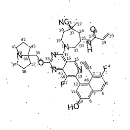 C#Cc1c(F)ccc2cc(O)cc(-c3ncc4c(N5CC[C@@](C)(C#N)C[C@H](NC(=O)C=C)C5)nc(OCC56CCCN5CCC6)nc4c3F)c12